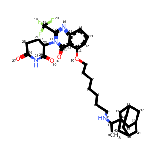 CC(NCCCCCCCOc1cccc2nc(C(F)(F)F)n(C3CCC(=O)NC3=O)c(=O)c12)C12CC3CC(CC(C3)C1)C2